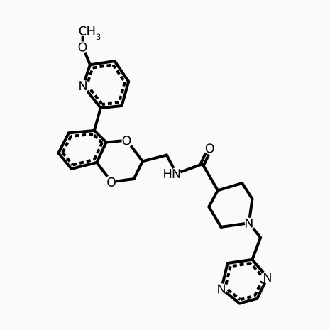 COc1cccc(-c2cccc3c2OC(CNC(=O)C2CCN(Cc4cnccn4)CC2)CO3)n1